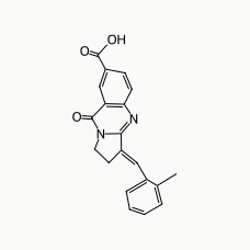 Cc1ccccc1C=C1CCn2c1nc1ccc(C(=O)O)cc1c2=O